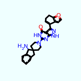 N[C@@H]1c2ccccc2CC12CCN(c1nc3[nH]nc(C4=CCCc5occc54)c3c(=O)[nH]1)CC2